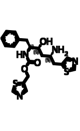 N[C@H](Cc1cncs1)C[C@H](O)[C@H](Cc1ccccc1)NC(=O)OCc1cncs1